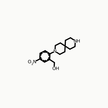 O=[N+]([O-])c1ccc(N2CCC3(CCNCC3)CC2)c(CO)c1